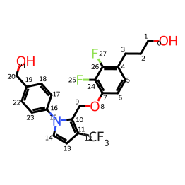 OCCCc1ccc(OCc2c(C(F)(F)F)ccn2-c2ccc(CO)cc2)c(F)c1F